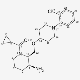 N[C@H]1CCCN(C(=O)C2CC2)[C@H]1COC1CCN(c2ccccc2Cl)CC1